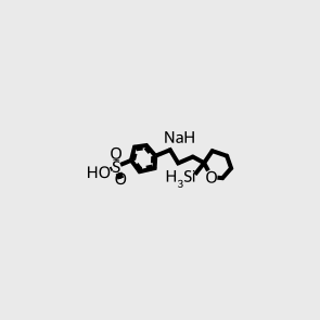 O=S(=O)(O)c1ccc(CCCC2([SiH3])CCCCO2)cc1.[NaH]